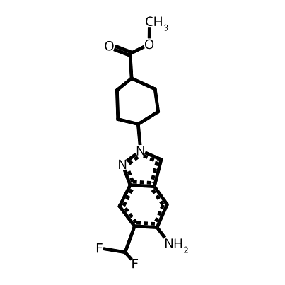 COC(=O)C1CCC(n2cc3cc(N)c(C(F)F)cc3n2)CC1